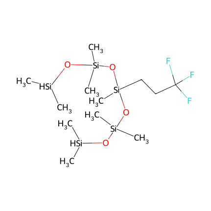 C[SiH](C)O[Si](C)(C)O[Si](C)(CCC(F)(F)F)O[Si](C)(C)O[SiH](C)C